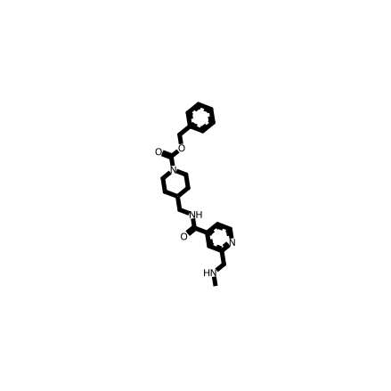 CNCc1cc(C(=O)NCC2CCN(C(=O)OCc3ccccc3)CC2)ccn1